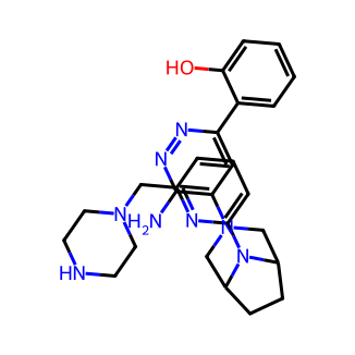 Nc1nnc(-c2ccccc2O)cc1N1CC2CCC(C1)N2c1cccc(CN2CCNCC2)n1